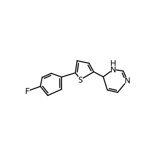 Fc1ccc(-c2ccc(C3C=CN=CN3)s2)cc1